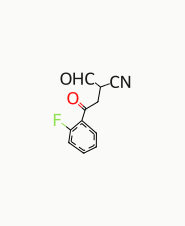 N#CC(C=O)CC(=O)c1ccccc1F